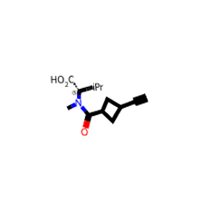 C#CC1CC(C(=O)N(C)[C@H](C(=O)O)C(C)C)C1